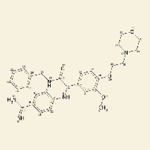 COc1cc(C(Nc2ccc(C(=N)N)cc2)C(=O)NCc2ccccc2)ccc1OCCN1CCOCC1